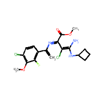 C=C(/N=C(C(=O)OC)\C(Cl)=C(/N)NC1CCC1)c1ccc(Cl)c(OC)c1F